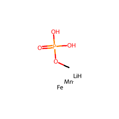 COP(=O)(O)O.[Fe].[LiH].[Mn]